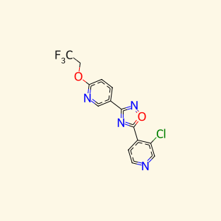 FC(F)(F)COc1ccc(-c2noc(-c3ccncc3Cl)n2)cn1